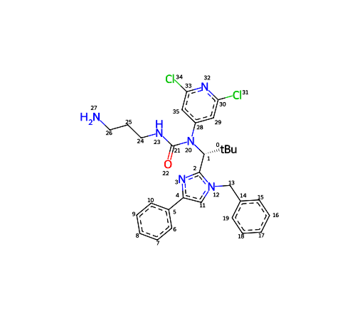 CC(C)(C)[C@H](c1nc(-c2ccccc2)cn1Cc1ccccc1)N(C(=O)NCCCN)c1cc(Cl)nc(Cl)c1